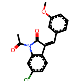 COc1cccc(C=C2C(=O)N(C(C)=O)c3cc(Cl)ccc32)c1